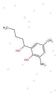 CCCCC(O)c1cc(C)cc(N)c1O